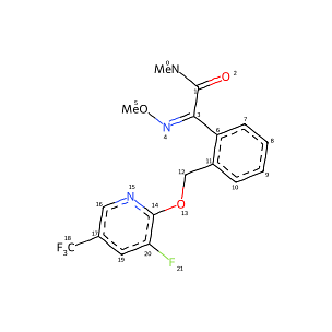 CNC(=O)C(=NOC)c1ccccc1COc1ncc(C(F)(F)F)cc1F